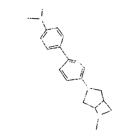 CN(C)c1ccc(-c2ccc(N3CC4CN(C)C4C3)cn2)cc1